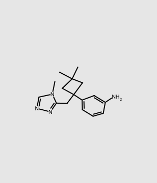 Cn1cnnc1CC1(c2cccc(N)c2)CC(C)(C)C1